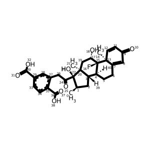 C[C@@H]1C[C@H]2[C@@H]3CCC4=CC(=O)C=C[C@]4(C)[C@@]3(F)[C@@H](O)C[C@]2(C)[C@@]1(O)C(=O)Cc1cc(C(=O)O)ccc1C(=O)O